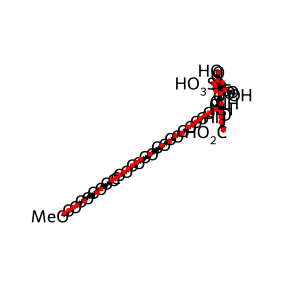 COCCOCCOCCOCCOCCOCCOCCOCCOCCOCCOCCOCCOCCOCCOCCOCCOCCOCCOCCOCCOCCOCCOCCOCCNC(=O)C(CCC(=O)NCCCCCC(=O)O)NC(=O)COc1cc(SOOO)c2ccc3c(SOOO)cc(S(=O)(=O)O)c4ccc1c2c34